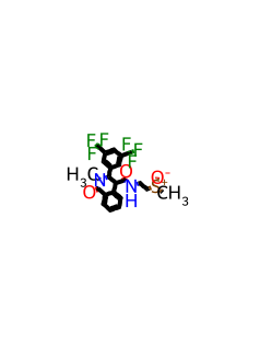 CN1C(=O)c2ccccc2C(C(=O)NCC[S+](C)[O-])C1c1cc(C(F)(F)F)cc(C(F)(F)F)c1